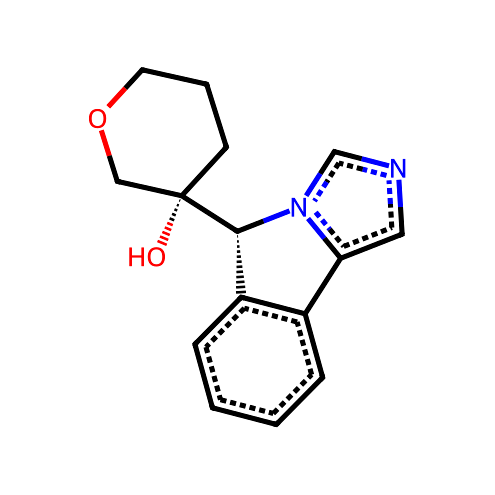 O[C@@]1([C@H]2c3ccccc3-c3cncn32)CCCOC1